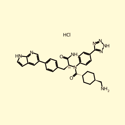 Cl.NC[C@H]1CC[C@H](C(=O)N(c2ccc(-c3nn[nH]n3)cc2)[C@@H](Cc2ccc(-c3cnc4[nH]ccc4c3)cc2)C(N)=O)CC1